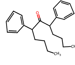 CCCCC(C(=O)C(CCCC)c1ccccc1)c1ccccc1